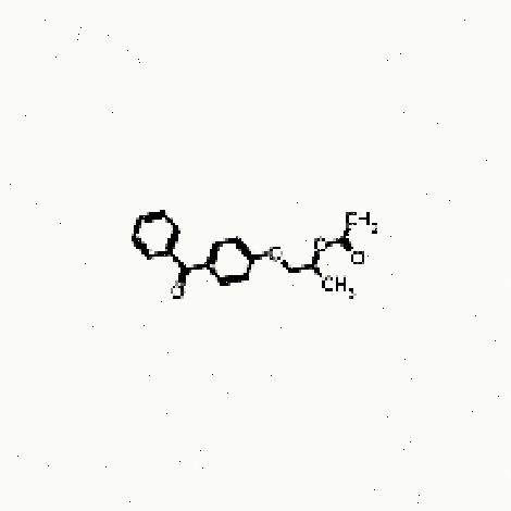 CC(=O)OC(C)COc1ccc(C(=O)c2ccccc2)cc1